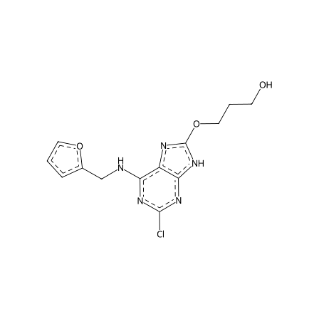 OCCCOc1nc2c(NCc3ccco3)nc(Cl)nc2[nH]1